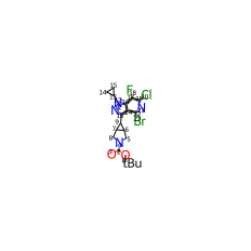 CC(C)(C)OC(=O)N1CC2C(C1)C2c1nn(C2CC2)c2c(F)c(Cl)nc(Br)c12